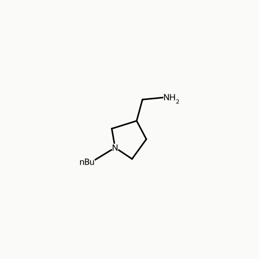 CCCCN1CCC(CN)C1